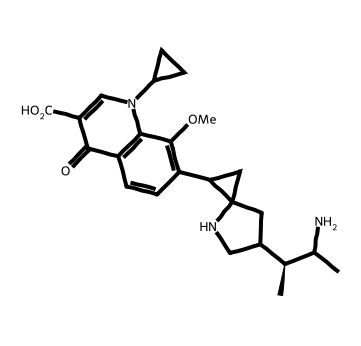 COc1c(C2CC23CC([C@H](C)C(C)N)CN3)ccc2c(=O)c(C(=O)O)cn(C3CC3)c12